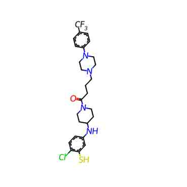 O=C(CCCN1CCN(c2ccc(C(F)(F)F)cc2)CC1)N1CCC(Nc2ccc(Cl)c(S)c2)CC1